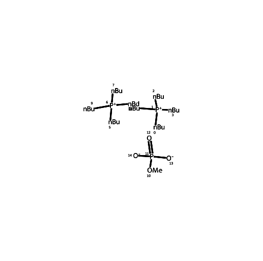 CCCC[P+](CCCC)(CCCC)CCCC.CCCC[P+](CCCC)(CCCC)CCCC.COP(=O)([O-])[O-]